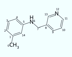 Cc1cccc(N[CH]c2cccnc2)c1